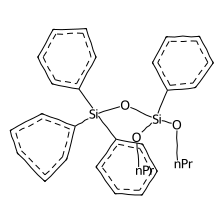 CCCO[Si](OCCC)(O[Si](c1ccccc1)(c1ccccc1)c1ccccc1)c1ccccc1